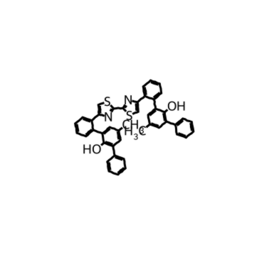 Cc1cc(-c2ccccc2)c(O)c(-c2ccccc2-c2csc(-c3nc(-c4ccccc4-c4cc(C)cc(-c5ccccc5)c4O)cs3)n2)c1